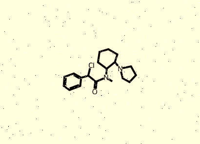 CN(C(=O)C(Cl)c1ccccc1)C1CCCCC1N1CCCC1